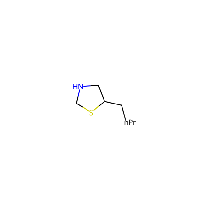 CCCCC1CNCS1